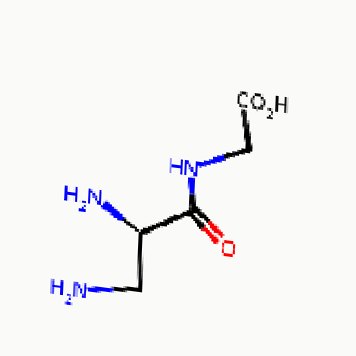 NC[C@@H](N)C(=O)NCC(=O)O